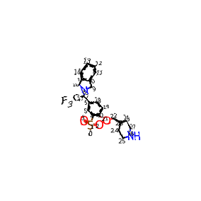 CS(=O)(=O)c1cc(C(N2Cc3ccccc3C2)C(F)(F)F)ccc1OCC1CCNCC1